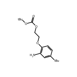 CC(C)(C)OC(=O)OCCOc1ccc(C(C)(C)C)cc1N